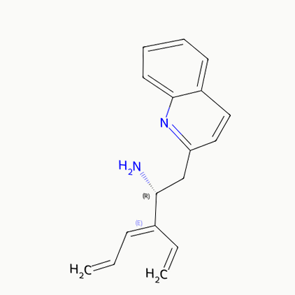 C=C/C=C(\C=C)[C@H](N)Cc1ccc2ccccc2n1